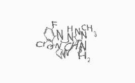 Cc1nc(N)c(C#N)c(N[C@H](C)c2nc3c(F)ccc(Cl)c3c(=O)n2-c2cccnc2)n1